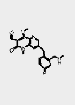 CNCc1cc(F)ccc1Cc1cnc2c(OC)c(C=O)c(=O)n(C)c2c1